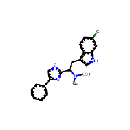 CC(C)(C)N(C(=O)O)[C@H](Cc1c[nH]c2cc(Cl)ccc12)c1nc(-c2ccccc2)c[nH]1